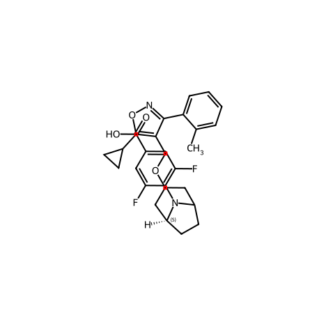 Cc1ccccc1-c1noc(C2CC2)c1COC1CC2CC[C@@H](C1)N2c1c(F)cc(C(=O)O)cc1F